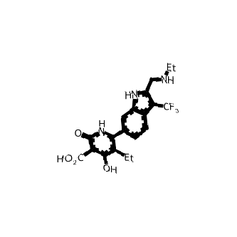 CCNCc1[nH]c2cc(-c3[nH]c(=O)c(C(=O)O)c(O)c3CC)ccc2c1C(F)(F)F